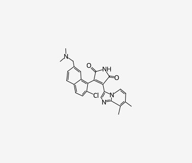 Cc1ccn2c(C3=C(c4c(Cl)ccc5ccc(CN(C)C)cc45)C(=O)NC3=O)cnc2c1C